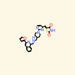 O=C1NC(=O)C(=Cc2ccnc(N3CCC(CNCc4nc(-c5ccco5)cc5ccccc45)CC3)n2)S1